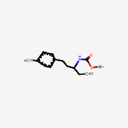 CCCCCCCCc1ccc(CCC(CC=O)NC(=O)OC(C)(C)C)cc1